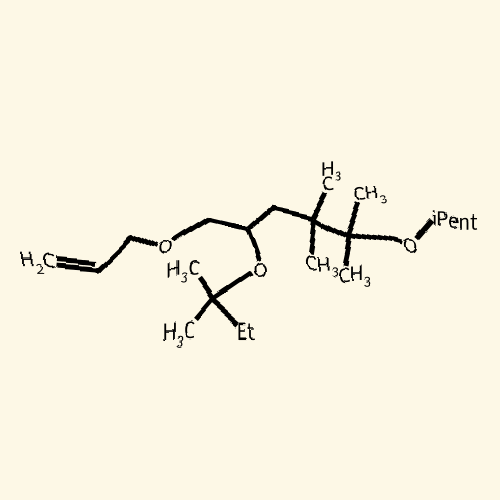 C=CCOCC(CC(C)(C)C(C)(C)OC(C)CCC)OC(C)(C)CC